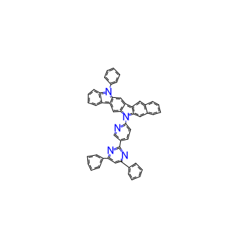 c1ccc(-c2cc(-c3ccccc3)nc(-c3ccc(-n4c5cc6ccccc6cc5c5cc6c(cc54)c4ccccc4n6-c4ccccc4)nc3)n2)cc1